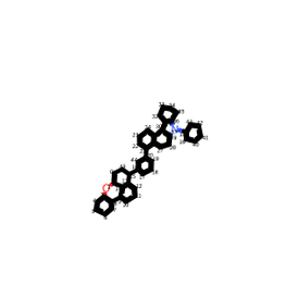 C1=C2Oc3ccccc3-c3cccc(c32)C(c2cccc(-c3cccc4c3ccc3c4c4ccccc4n3-c3ccccc3)c2)C1